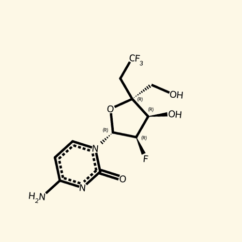 Nc1ccn([C@@H]2O[C@@](CO)(CC(F)(F)F)[C@@H](O)[C@H]2F)c(=O)n1